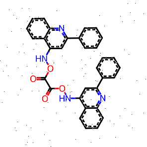 O=C(ONc1cc(-c2ccccc2)nc2ccccc12)C(=O)ONc1cc(-c2ccccc2)nc2ccccc12